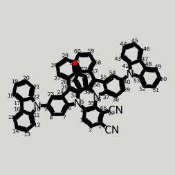 N#Cc1ccc(-n2c3ccc(-n4c5ccccc5c5ccccc54)cc3c3c4ccccc4ccc32)c(-n2c3ccc(-n4c5ccccc5c5ccccc54)cc3c3c4ccccc4ccc32)c1C#N